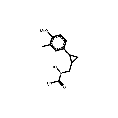 COc1ccc(C2CC2CN(O)C(N)=O)cc1C